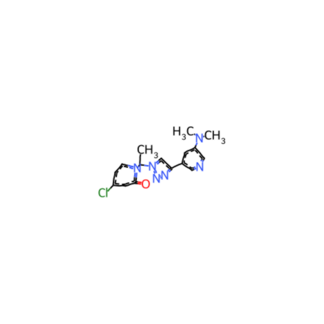 CC(n1cc(-c2cncc(N(C)C)c2)nn1)n1ccc(Cl)cc1=O